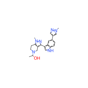 CC(O)N1CCc2c(c(-c3c[nH]c4ccc(-c5cnn(C)c5)cc34)nn2C)C1